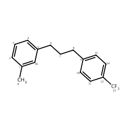 Cc1cccc(CCCc2ccc(C(F)(F)F)cc2)c1